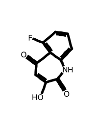 O=c1[nH]c2cccc(F)c2c(=O)cc1O